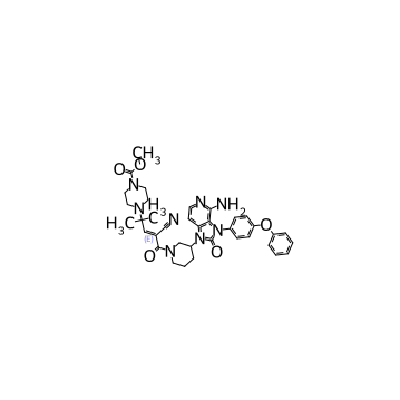 COC(=O)N1CCN(C(C)(C)/C=C(\C#N)C(=O)N2CCCC(n3c(=O)n(-c4ccc(Oc5ccccc5)cc4)c4c(N)nccc43)C2)CC1